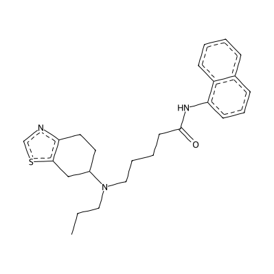 CCCN(CCCCC(=O)Nc1cccc2ccccc12)C1CCc2ncsc2C1